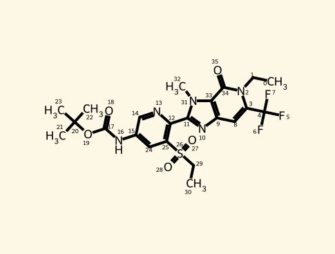 CCn1c(C(F)(F)F)cc2nc(-c3ncc(NC(=O)OC(C)(C)C)cc3S(=O)(=O)CC)n(C)c2c1=O